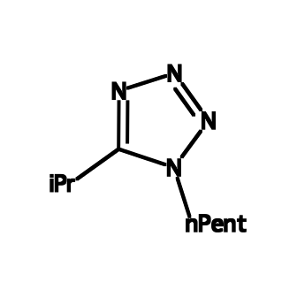 CCCCCn1nnnc1C(C)C